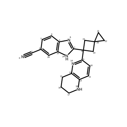 N#Cc1ccc2nc(C3(c4ccc5c(n4)CCCN5)CC4(CC4)C3)[nH]c2c1